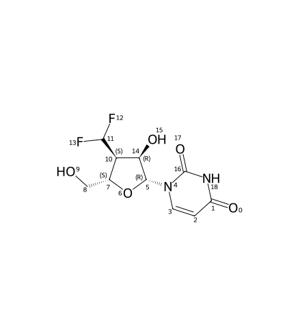 O=c1ccn([C@@H]2O[C@H](CO)[C@@H](C(F)F)[C@H]2O)c(=O)[nH]1